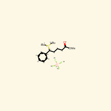 CCC(C)[S+](C(C)CC)C(CCCC(=O)OC)c1ccccc1.F[B-](F)(F)F